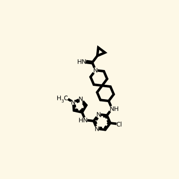 Cn1cc(Nc2ncc(Cl)c(NC3CCC4(CC3)CCN(C(=N)C3CC3)CC4)n2)cn1